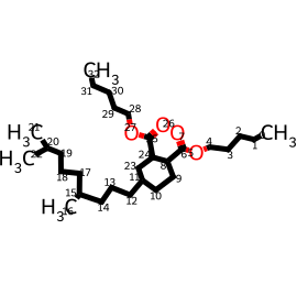 CCCCCOC(=O)C1CCC(CCCC(C)CCCC(C)C)CC1C(=O)OCCCCC